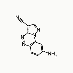 N#Cc1cnn2c1nnc1ccc(N)cc12